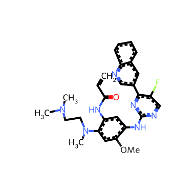 C=CC(=O)Nc1cc(Nc2ncc(F)c(-c3cnc4ccccc4c3)n2)c(OC)cc1N(C)CCN(C)C